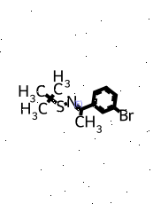 C/C(=N\SC(C)(C)C)c1cccc(Br)c1